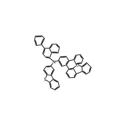 c1ccc(-c2ccc(N(c3ccc4sc5ccccc5c4c3)c3ccc(-c4ccccc4)c4ccccc34)cc2-c2cccc3c2oc2ccccc23)cc1